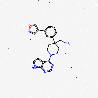 NCC1(c2cccc(-c3cnoc3)c2)CCN(c2ncnc3[nH]ccc23)CC1